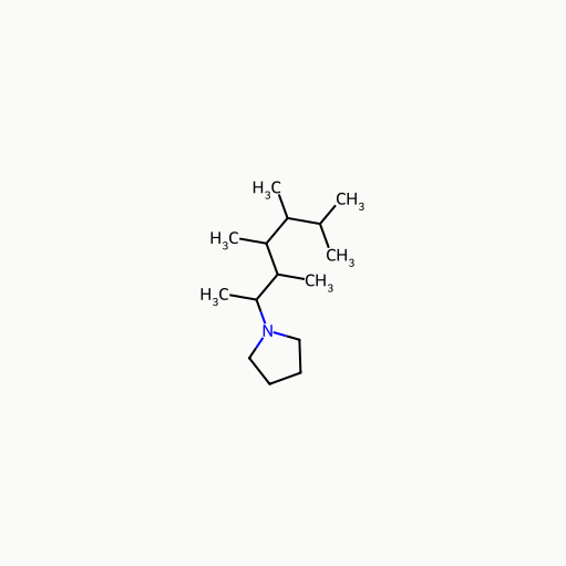 CC(C)C(C)C(C)C(C)C(C)N1CCCC1